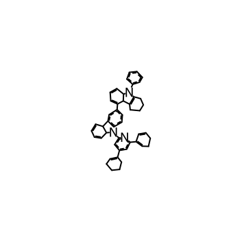 C1=CC2c3cc(C4=CC=CC5C4C4=C(CCCC4)N5c4ccccc4)ccc3N(c3cc(C4=CCCCC4)cc(C4=CCCC=C4)n3)C2C=C1